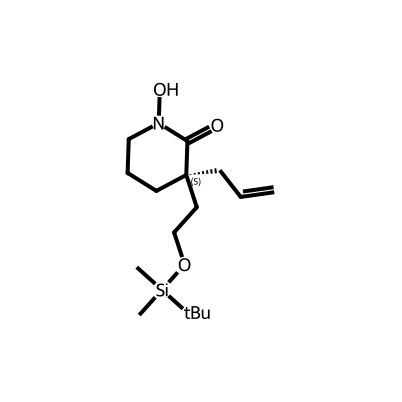 C=CC[C@]1(CCO[Si](C)(C)C(C)(C)C)CCCN(O)C1=O